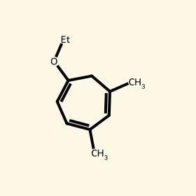 CCOC1=CC=C(C)C=C(C)C1